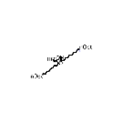 CCCCCCCC/C=C/CCCCCCCC(=O)O[C](C=CCCCCCCCCCCCCCCCC)C(O)CO